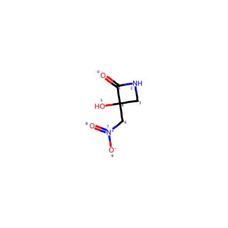 O=C1NCC1(O)C[N+](=O)[O-]